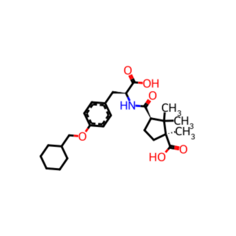 CC1(C)[C@H](C(=O)N[C@@H](Cc2ccc(OCC3CCCCC3)cc2)C(=O)O)CC[C@]1(C)C(=O)O